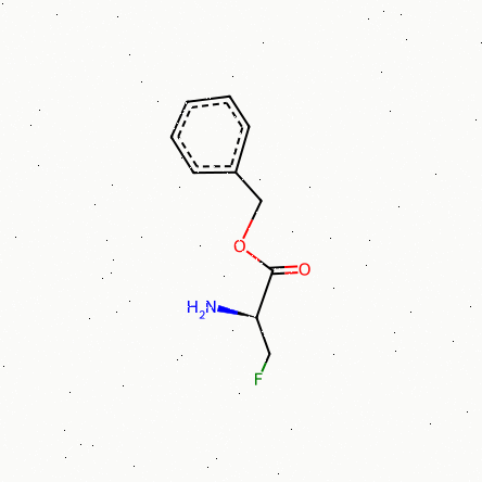 N[C@H](CF)C(=O)OCc1ccccc1